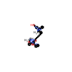 CN[C@@H](C)C(=O)N[C@H](C(=O)N1C[C@@H](NC(=O)CCCCCCCCc2cccc(-c3c(C)nn4c(N5CCN(CCO)CC5)cc(-c5ccccc5)nc34)c2)C[C@H]1C(=O)N[C@@H]1CCCc2ccccc21)C1CCCCC1